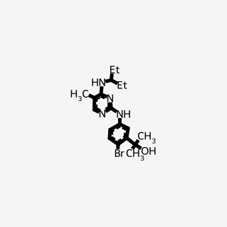 CCC(CC)Nc1nc(Nc2ccc(Br)c(C(C)(C)O)c2)ncc1C